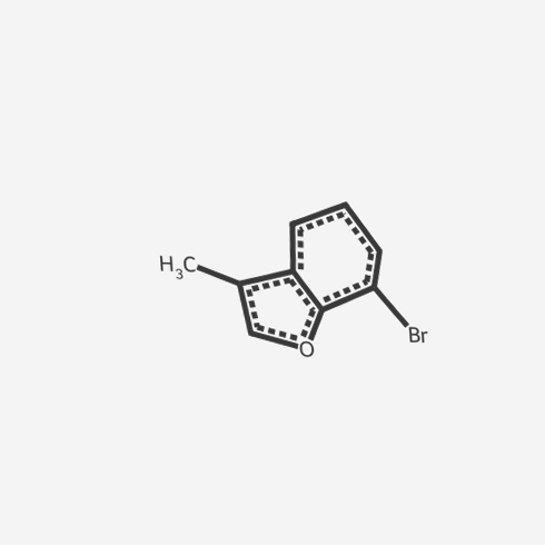 Cc1coc2c(Br)cccc12